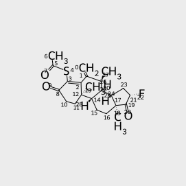 C=C1C2=C(SC(C)=O)C(=O)CC[C@]2(C)[C@H]2CC[C@]3(C)C(=O)[C@@H](F)C[C@H]3[C@@H]2[C@@H]1C